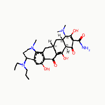 CCCN(CC)C1CCN(C)c2c1cc(O)c1c2C[C@@H]2C[C@H]3[C@@H](C(=O)C(C(N)=O)=C(O)[C@@H]3N(C)C)C(O)=C2C1=O